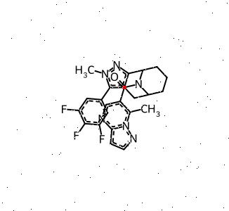 Cc1c(C(=O)N2C3CCCC2c2nn(C)c(-c4cc(F)c(F)c(F)c4)c2C3)cnc2ccnn12